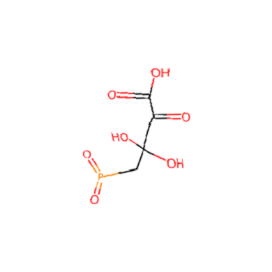 O=C(O)C(=O)C(O)(O)CP(=O)=O